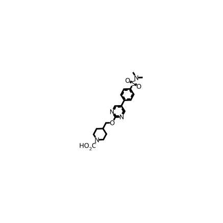 CN(C)S(=O)(=O)c1ccc(-c2cnc(OCC3CCN(C(=O)O)CC3)nc2)cc1